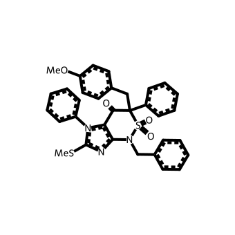 COc1ccc(CC2(c3ccccc3)C(=O)c3c(nc(SC)n3-c3ccccc3)N(Cc3ccccc3)S2(=O)=O)cc1